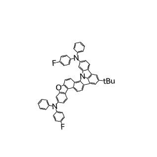 CC(C)(C)c1cc2c3ccc(N(c4ccccc4)c4ccc(F)cc4)cc3n3c4c5ccc6oc7cc(N(c8ccccc8)c8ccc(F)cc8)ccc7c6c5ccc4c(c1)c23